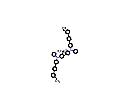 C=Cc1cccc(-c2ccc(-c3ccc(N(c4ccccc4)c4ccc5c(c4)C(C)(C)c4cc(N(c6ccccc6)c6ccc(-c7ccc(-c8cccc(C=C)c8)cc7)cc6)ccc4-5)cc3)cc2)c1